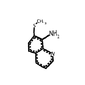 CSc1ccc2cccnc2c1N